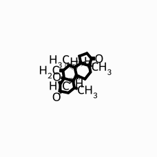 C=C1[C@@H](C)[C@H]2[C@@H]3CCC(=O)[C@@]3(C)CC[C@@H]2[C@@]2(C)C(C)CC(=O)C3OC132